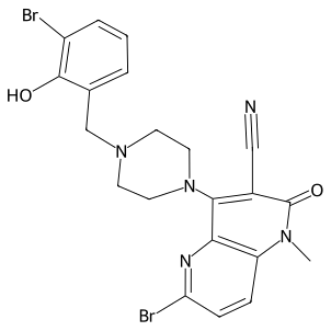 Cn1c(=O)c(C#N)c(N2CCN(Cc3cccc(Br)c3O)CC2)c2nc(Br)ccc21